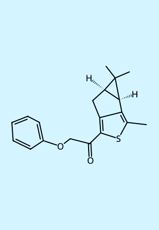 Cc1sc(C(=O)COc2ccccc2)c2c1[C@H]1[C@@H](C2)C1(C)C